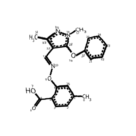 Cc1ccc(C(=O)O)c(O/N=C/c2c(C)nn(C)c2Oc2ccccc2)c1